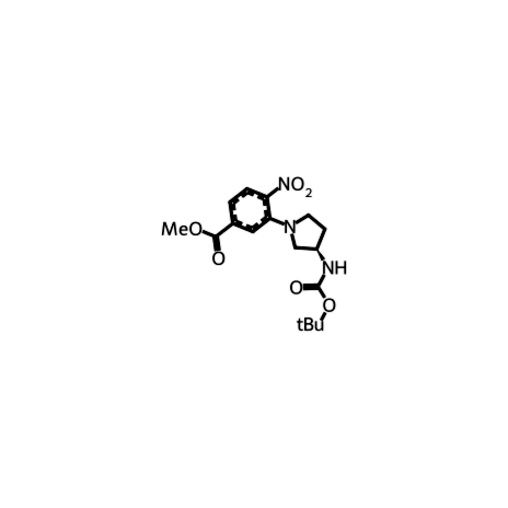 COC(=O)c1ccc([N+](=O)[O-])c(N2CC[C@@H](NC(=O)OC(C)(C)C)C2)c1